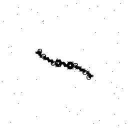 C(=C\c1ccc(OCCCCOCC2CO2)cc1)/c1ccc(OCCCCOCC2CO2)cc1